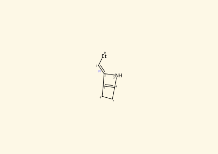 CC/C=C1\NC2=C1CC2